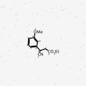 CCOC(=O)CC(C#N)c1cccc(OC)c1